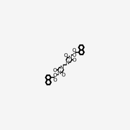 O=C(OCN1C(=O)CN(CCN2CC(=O)N(COC(=O)c3cccc4ccccc34)C(=O)C2)CC1=O)c1cccc2ccccc12